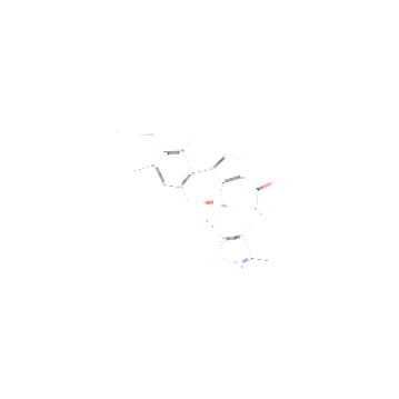 CC(=O)OCc1c(C)cc(C)c(-c2csc(C(N)=O)c2S(=O)(=O)Nc2onc(C)c2C)c1C